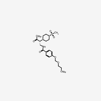 COCCOCOc1ccc(C(=O)NC[C@H](C(=O)OC)N2CCN(S(C)(=O)=O)CC2)cc1